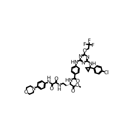 COC(=O)[C@H](CCNC(=O)C(=O)Nc1ccc(N2CCOCC2)cc1)NC(=O)c1ccc(Nc2nc(NC3(c4ccc(Cl)cc4)CC3)nc(OCC(F)(F)F)n2)cc1